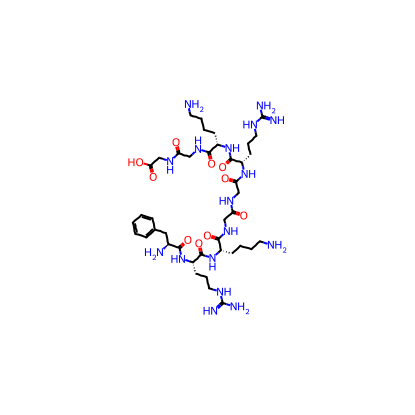 N=C(N)NCCC[C@H](NC(=O)CNC(=O)CNC(=O)[C@H](CCCCN)NC(=O)[C@H](CCCNC(=N)N)NC(=O)[C@@H](N)Cc1ccccc1)C(=O)N[C@@H](CCCCN)C(=O)NCC(=O)NCC(=O)O